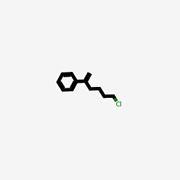 C=C(CCCCCl)c1ccccc1